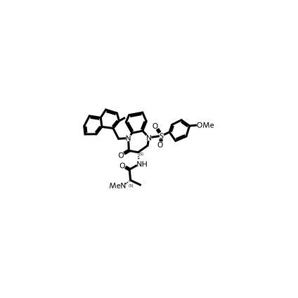 CN[C@@H](C)C(=O)N[C@H]1CN(S(=O)(=O)c2ccc(OC)cc2)c2ccccc2N(Cc2c(C)ccc3ccccc23)C1=O